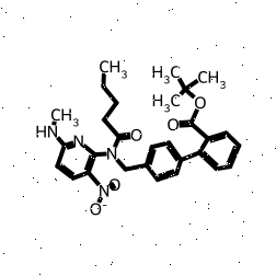 CCCCC(=O)N(Cc1ccc(-c2ccccc2C(=O)OC(C)(C)C)cc1)c1nc(NC)ccc1[N+](=O)[O-]